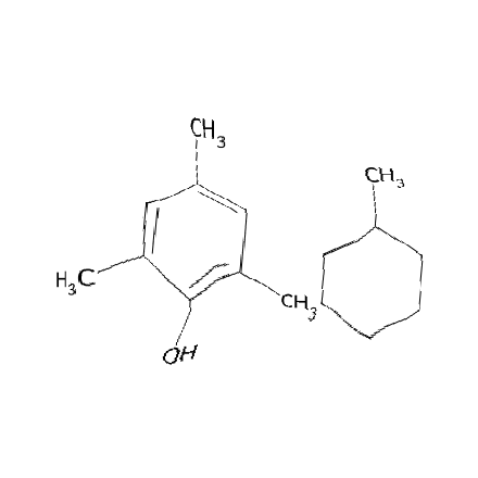 CC1CCCCC1.Cc1cc(C)c(O)c(C)c1